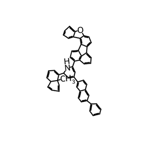 CC12C=CC=CC1C=CC=C2C1C=C(c2ccc3cc(-c4ccccc4)ccc3c2)C=C(c2ccc3c4c(cccc24)-c2ccc4oc5ccccc5c4c2-3)N1